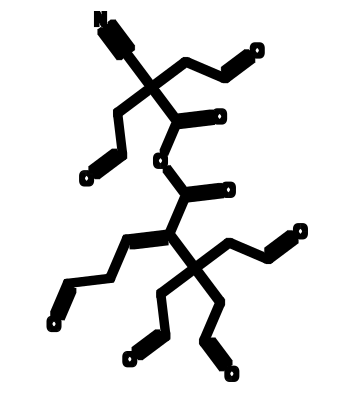 N#CC(CC=O)(CC=O)C(=O)OC(=O)C(=CCC=O)C(CC=O)(CC=O)CC=O